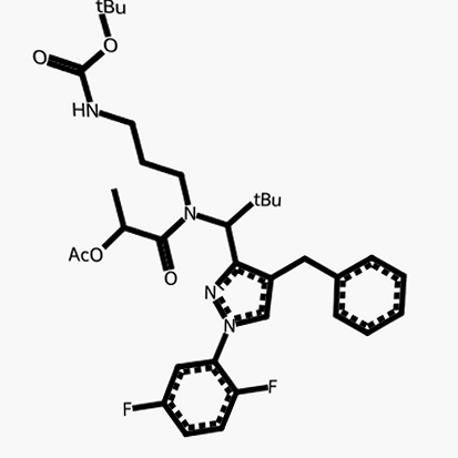 CC(=O)OC(C)C(=O)N(CCCNC(=O)OC(C)(C)C)C(c1nn(-c2cc(F)ccc2F)cc1Cc1ccccc1)C(C)(C)C